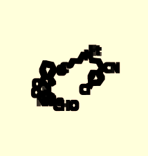 CCN(CCCCCOc1cccc2c1CN(C(CCC=O)C(=O)NC)C2=O)CCC(C#N)c1ccc(Cl)cc1